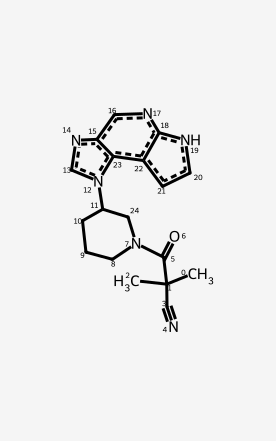 CC(C)(C#N)C(=O)N1CCCC(n2cnc3cnc4[nH]ccc4c32)C1